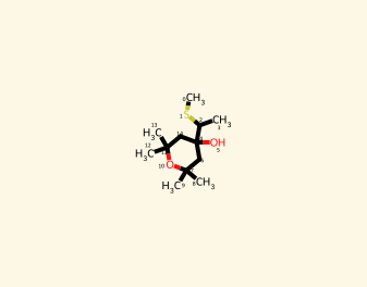 CSC(C)C1(O)CC(C)(C)OC(C)(C)C1